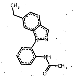 CCc1ccc2cnn(-c3ccccc3NC(C)=O)c2c1